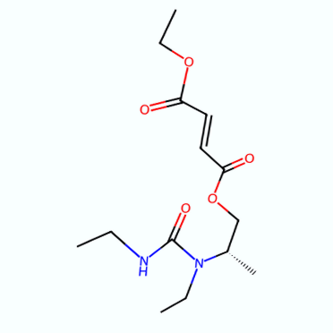 CCNC(=O)N(CC)[C@@H](C)COC(=O)/C=C/C(=O)OCC